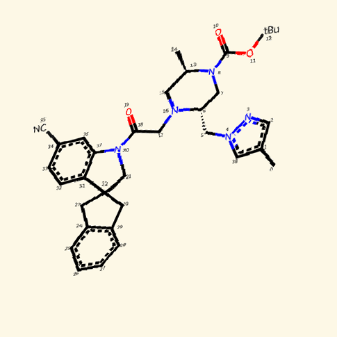 Cc1cnn(C[C@H]2CN(C(=O)OC(C)(C)C)[C@H](C)CN2CC(=O)N2CC3(Cc4ccccc4C3)c3ccc(C#N)cc32)c1